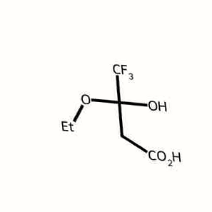 CCOC(O)(CC(=O)O)C(F)(F)F